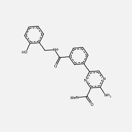 CNC(=O)c1nc(-c2cccc(C(=O)NCc3ccccc3O)c2)cnc1N